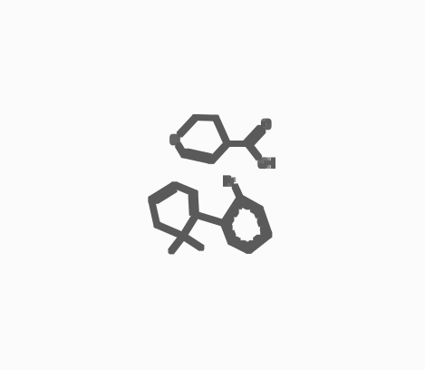 CC1(C)CC=CC=C1c1ccccc1Br.O=C(O)C1C=COCC1